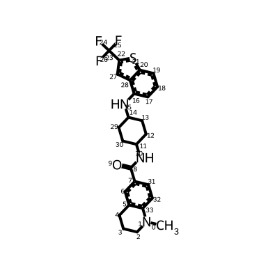 CN1CCCc2cc(C(=O)NC3CCC(Nc4cccc5sc(C(F)(F)F)cc45)CC3)ccc21